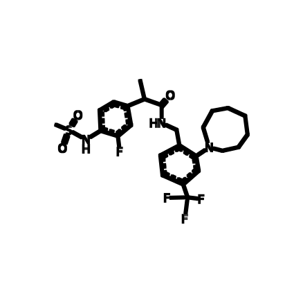 CC(C(=O)NCc1ccc(C(F)(F)F)cc1N1CCCCCCC1)c1ccc(NS(C)(=O)=O)c(F)c1